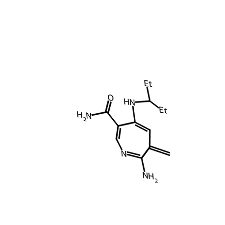 C=C1C=C(NC(CC)CC)C(C(N)=O)=CN=C1N